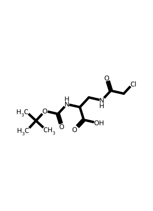 CC(C)(C)OC(=O)NC(CNC(=O)CCl)C(=O)O